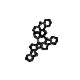 c1ccc(-n2c3ccc4c5ccccc5oc4c3c3ccc4c5ccccc5n(-c5nc6c7c(cccc7n5)Sc5ccccc5-6)c4c32)cc1